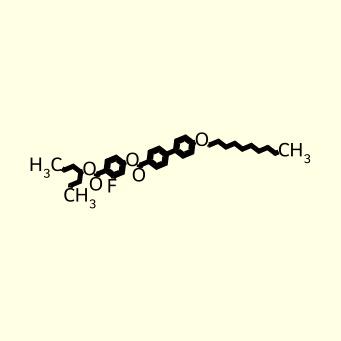 CCCCCCCCCCOc1ccc(-c2ccc(C(=O)Oc3ccc(C(=O)OC(CCC)CCC)c(F)c3)cc2)cc1